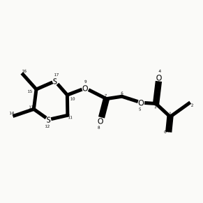 C=C(C)C(=O)OCC(=O)OC1CSC(C)C(C)S1